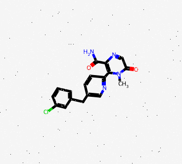 Cn1c(-c2ccc(Cc3cccc(Cl)c3)cn2)c(C(N)=O)ncc1=O